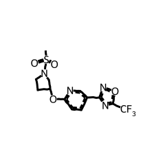 CS(=O)(=O)N1CCC(Oc2ccc(-c3noc(C(F)(F)F)n3)cn2)C1